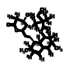 [2H]O[C@@H]1CC(CC[C@@H]2[C@@H]3C(=C([2H])[C@]([2H])(C)C([2H])([2H])C3OC(=O)C(CC)(C([2H])([2H])[2H])C([2H])([2H])[2H])C([2H])=C([2H])[C@]2([2H])C)OC(=O)C1([2H])[2H]